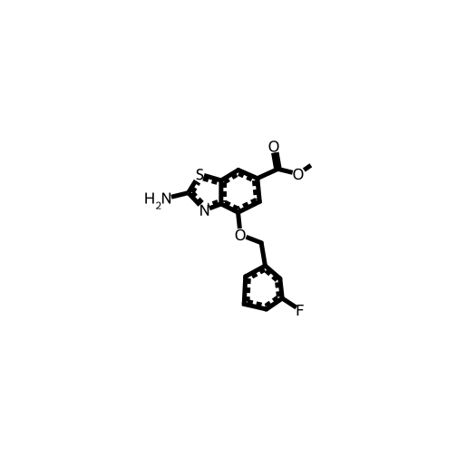 COC(=O)c1cc(OCc2cccc(F)c2)c2nc(N)sc2c1